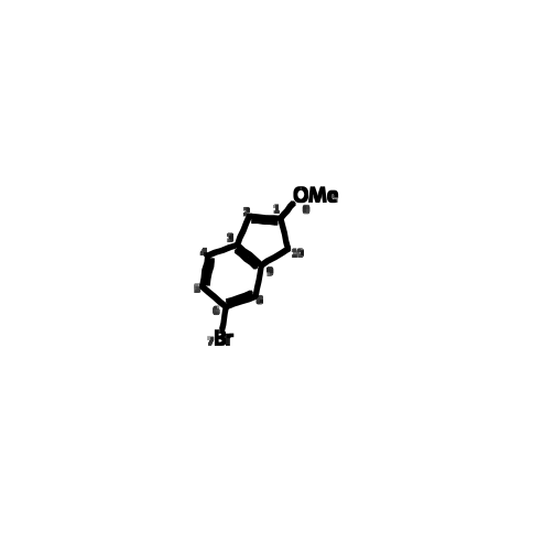 COC1=Cc2ccc(Br)cc2C1